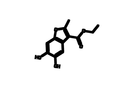 CCOC(=O)c1c(C)oc2cc(O)c(O)cc12